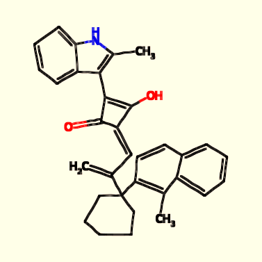 C=C(/C=C1\C(=O)C(c2c(C)[nH]c3ccccc23)=C1O)C1(c2ccc3ccccc3c2C)CCCCC1